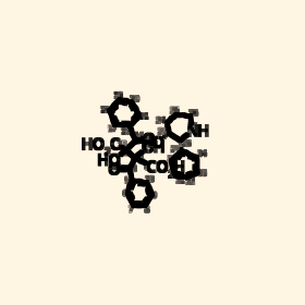 O=C(O)C(O)(C(=O)c1ccccc1)C(O)(C(=O)O)C(=O)c1ccccc1.O[C@@H]1CCCN[C@@H]1c1ccccc1